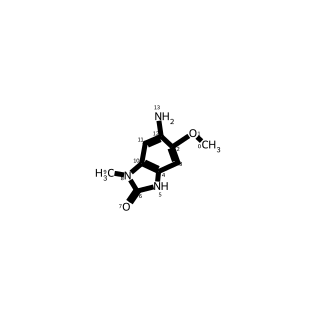 COc1cc2[nH]c(=O)n(C)c2cc1N